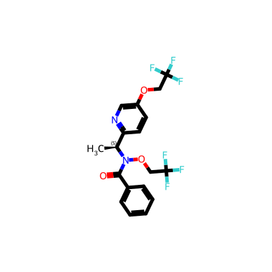 C[C@@H](c1ccc(OCC(F)(F)F)cn1)N(OCC(F)(F)F)C(=O)c1ccccc1